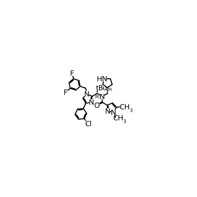 Cc1cc(C(=O)N(C[C@@H]2CCNC2)[C@@H](c2nc(-c3cccc(Cl)c3)cn2Cc2cc(F)cc(F)c2)C(C)(C)C)nn1C